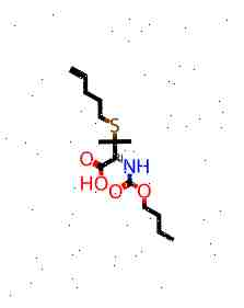 C=CCCCSC(C)(C)[C@H](NC(=O)OCCCC)C(=O)O